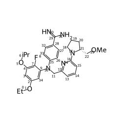 CCOc1cc(OC(C)C)c(F)c(N(Cc2cccc(N3CCC[C@@H]3COC)n2)c2ccc(C(=N)N)cc2)c1